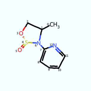 CC1CO[S@@](=O)N1c1ccccn1